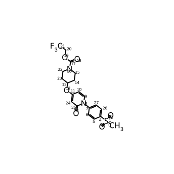 CS(=O)(=O)c1ccc(-n2ccc(OC3CCN(C(=O)OCC(F)(F)F)CC3)cc2=O)cc1